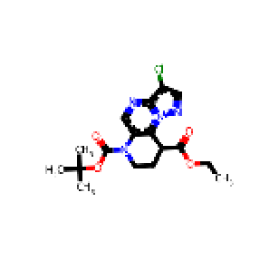 CCOC(=O)C1CCN(C(=O)OC(C)(C)C)c2cnc3c(Cl)cnn3c21